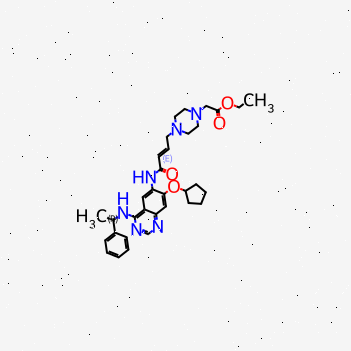 CCOC(=O)CN1CCN(C/C=C/C(=O)Nc2cc3c(N[C@H](C)c4ccccc4)ncnc3cc2OC2CCCC2)CC1